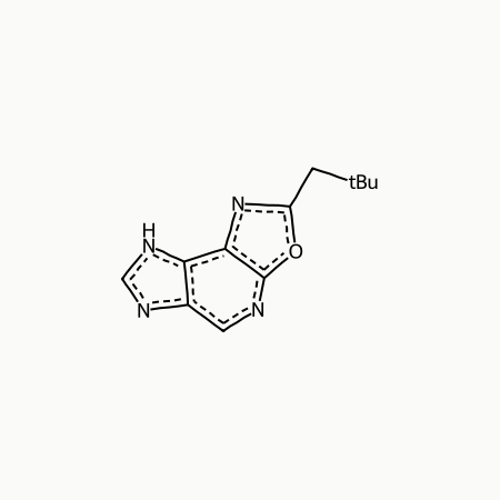 CC(C)(C)Cc1nc2c(ncc3nc[nH]c32)o1